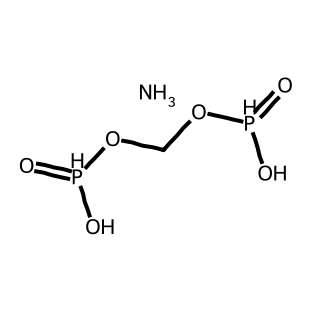 N.O=[PH](O)OCO[PH](=O)O